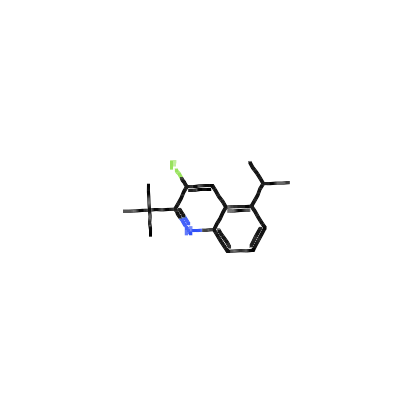 CC(C)c1cccc2nc(C(C)(C)C)c(F)cc12